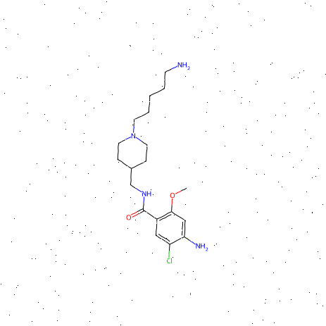 COc1cc(N)c(Cl)cc1C(=O)NCC1CCN(CCCCCN)CC1